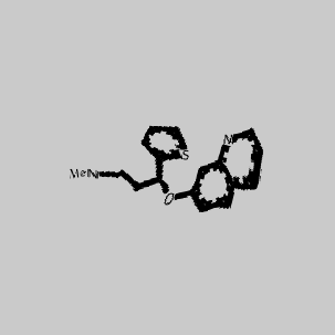 CNCCC(Oc1ccc2cccnc2c1)c1cccs1